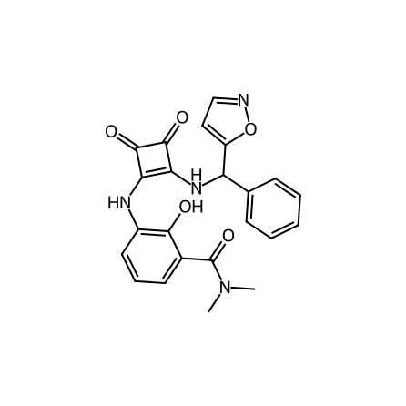 CN(C)C(=O)c1cccc(Nc2c(NC(c3ccccc3)c3ccno3)c(=O)c2=O)c1O